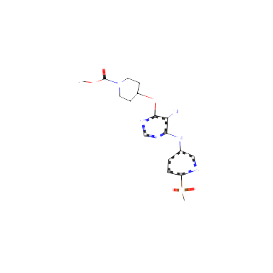 CC(C)(C)OC(=O)N1CCC(Oc2ncnc(Nc3ccc(S(C)(=O)=O)nc3)c2N)CC1